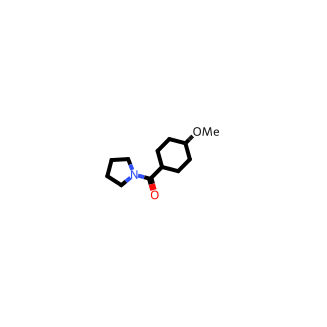 COC1CCC(C(=O)N2CCCC2)CC1